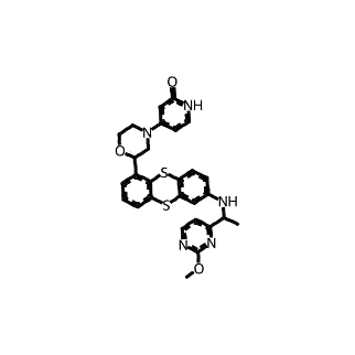 COc1nccc(C(C)Nc2ccc3c(c2)Sc2cccc(C4CN(c5cc[nH]c(=O)c5)CCO4)c2S3)n1